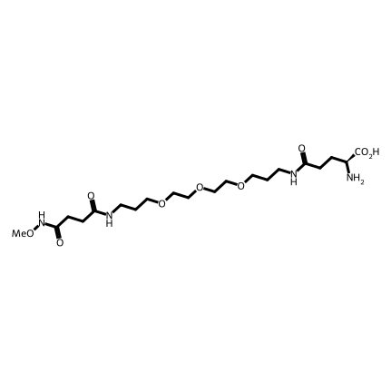 CONC(=O)CCC(=O)NCCCOCCOCCOCCCNC(=O)CC[C@H](N)C(=O)O